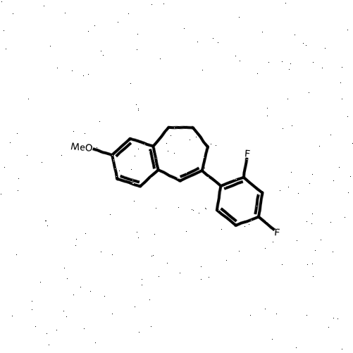 COc1ccc2c(c1)CCCC(c1ccc(F)cc1F)=C2